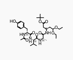 CCOC(C[C@H](CC(=O)OC(C)(C)C)NC(=O)[C@H](C)NC(=O)[C@@H](NC(=O)[C@H](Cc1ccc(O)cc1)NC(C)=O)C(C)C)OCC